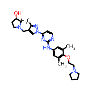 Cc1cc(Nc2nccc(-n3cc(CN4CC[C@@H](O)C4)c(C)n3)n2)cc(C)c1OCCN1CCCC1